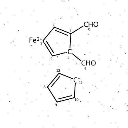 O=Cc1ccc[c-]1C=O.[Fe+2].c1cc[cH-]c1